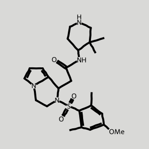 COc1cc(C)c(S(=O)(=O)N2CCn3cccc3C2CC(=O)NC2CCNCC2(C)C)c(C)c1